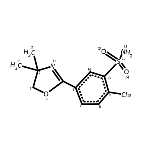 CC1(C)COC(c2ccc(Cl)c(S(N)(=O)=O)c2)=N1